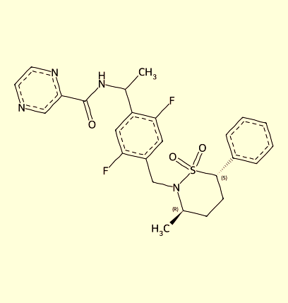 CC(NC(=O)c1cnccn1)c1cc(F)c(CN2[C@H](C)CC[C@@H](c3ccccc3)S2(=O)=O)cc1F